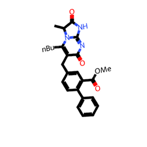 CCCCc1c(Cc2ccc(-c3ccccc3)c(C(=O)OC)c2)c(=O)nc2n1C(C)C(=O)N2